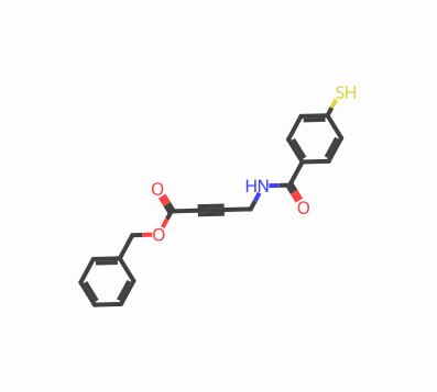 O=C(C#CCNC(=O)c1ccc(S)cc1)OCc1ccccc1